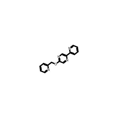 c1ccc(COc2cnc(-c3ccccn3)cn2)nc1